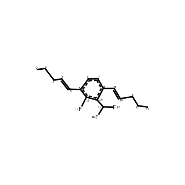 CCC/C=C/c1ccc(/C=C/CCC)c(C(F)F)c1F